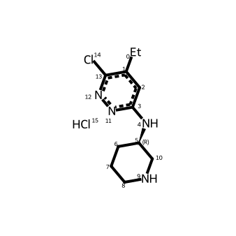 CCc1cc(N[C@@H]2CCCNC2)nnc1Cl.Cl